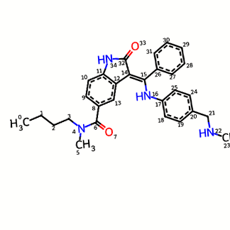 CCCCN(C)C(=O)c1ccc2c(c1)C(=C(Nc1ccc(CNC)cc1)c1ccccc1)C(=O)N2